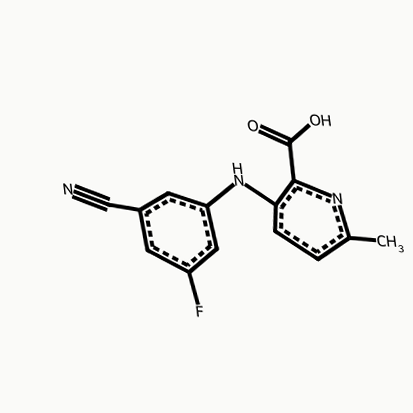 Cc1ccc(Nc2cc(F)cc(C#N)c2)c(C(=O)O)n1